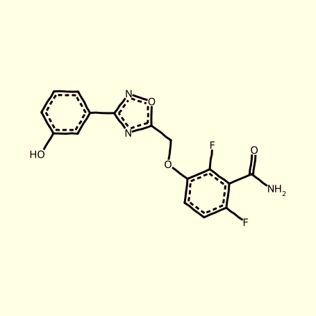 NC(=O)c1c(F)ccc(OCc2nc(-c3cccc(O)c3)no2)c1F